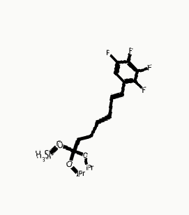 CC(C)OC(CCCCCCc1cc(F)c(F)c(F)c1F)(O[SiH3])OC(C)C